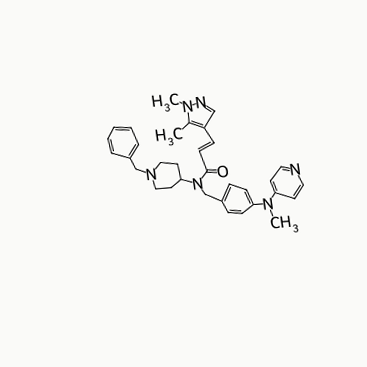 Cc1c(C=CC(=O)N(Cc2ccc(N(C)c3ccncc3)cc2)C2CCN(Cc3ccccc3)CC2)cnn1C